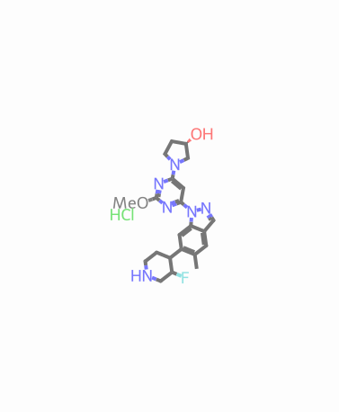 COc1nc(N2CC[C@@H](O)C2)cc(-n2ncc3cc(C)c(C4CCNCC4F)cc32)n1.Cl